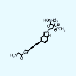 CC(CCn1cc2cc(C#CC#CC3CN(C(=O)CN)C3)ccc2n1)(C(=O)NO)S(C)(=O)=O